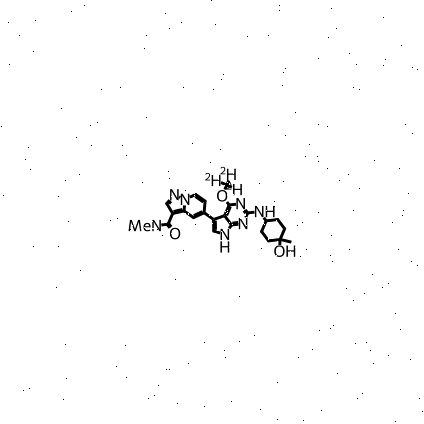 [2H]C([2H])([2H])Oc1nc(NC2CCC(C)(O)CC2)nc2[nH]cc(-c3ccn4ncc(C(=O)NC)c4c3)c12